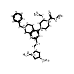 CO[C@@H]1C[C@@H](COc2nc3c(c(N4CCN(C(=O)OC(C)(C)C)[C@@H](CC#N)C4)n2)CCN(Cc2ccccc2)C3)N(C)C1